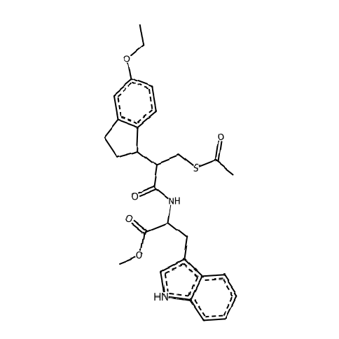 CCOc1ccc2c(c1)CCC2C(CSC(C)=O)C(=O)NC(Cc1c[nH]c2ccccc12)C(=O)OC